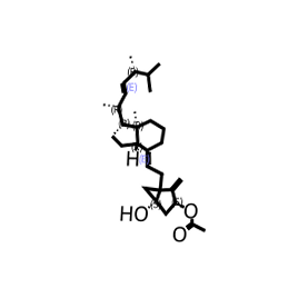 C=C1[C@@H](OC(C)=O)C[C@@]2(O)CC12C/C=C1\CCC[C@]2(C)[C@@H]([C@H](C)/C=C/[C@H](C)C(C)C)CC[C@@H]12